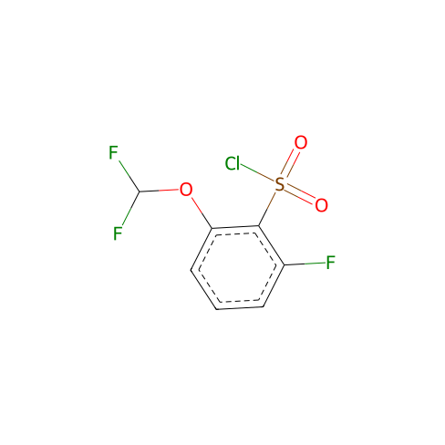 O=S(=O)(Cl)c1c(F)cccc1OC(F)F